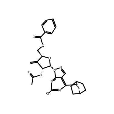 C=C1[C@@H](OC(C)=O)[C@H](n2ncc3c(N4CC5CCC4CC5)nc(Cl)nc32)O[C@@H]1COC(=O)c1ccccc1